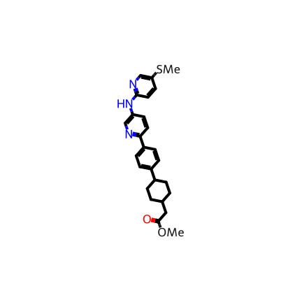 COC(=O)CC1CCC(c2ccc(-c3ccc(Nc4ccc(SC)cn4)cn3)cc2)CC1